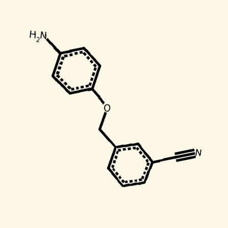 N#Cc1cccc(COc2ccc(N)cc2)c1